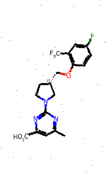 Cc1cc(C(=O)O)nc(N2CC[C@H](COc3ccc(F)cc3C(F)(F)F)C2)n1